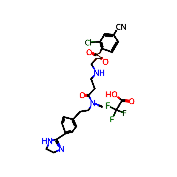 CN(CCc1ccc(C2=NCCN2)cc1)C(=O)CCNCS(=O)(=O)c1ccc(C#N)cc1Cl.O=C(O)C(F)(F)F